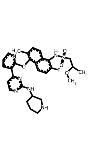 COC(C)CS(=O)(=O)Nc1c(F)ccc2c(Oc3ncccc3-c3ccnc(NC4CCCNC4)n3)c(C)ccc12